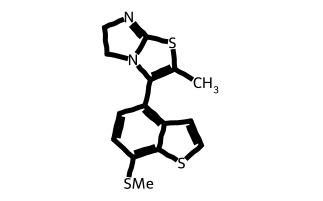 CSc1ccc(C2=C(C)SC3=NCCN32)c2ccsc12